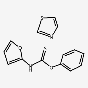 S=C(Nc1ccco1)Oc1ccccc1.c1cscn1